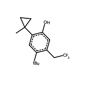 CC(C)(C)c1cc(C2(C)CC2)c(O)cc1CC(F)(F)F